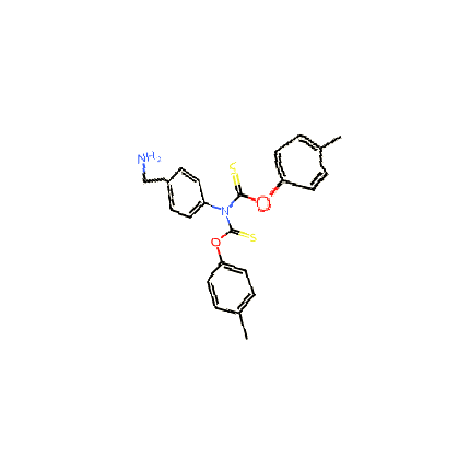 Cc1ccc(OC(=S)N(C(=S)Oc2ccc(C)cc2)c2ccc(CN)cc2)cc1